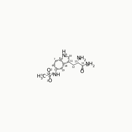 CS(=O)(=O)Nc1ccc2[nH]cc(C[C@H](N)C(N)=O)c2c1